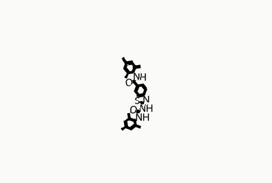 Cc1cc(C)c(NC(=O)Nc2nc3ccc(C(=O)Nc4c(C)cc(C)cc4C)cc3s2)c(C)c1